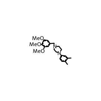 COc1cc(CN2CCN(c3ccc(C)c(C)c3)CC2)cc(OC)c1OC